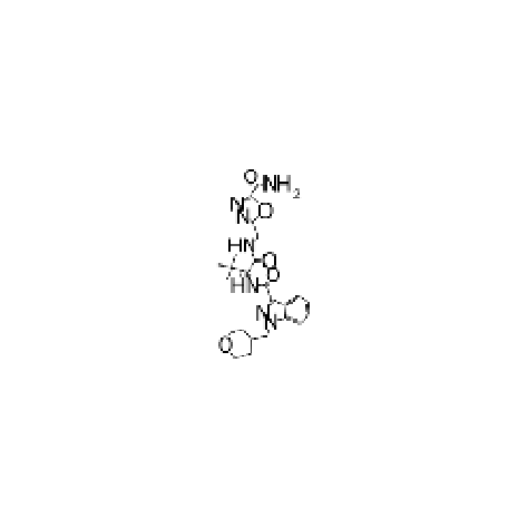 CC(C)(C)[C@H](NC(=O)c1nn(CC2CCOCC2)c2ccccc12)C(=O)NCc1nnc(C(N)=O)o1